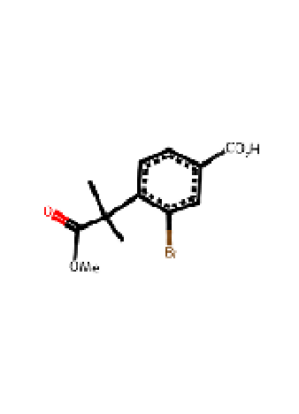 COC(=O)C(C)(C)c1ccc(C(=O)O)cc1Br